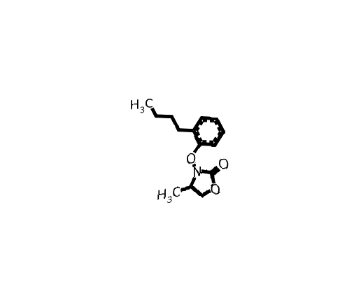 CCCCc1ccccc1ON1C(=O)OCC1C